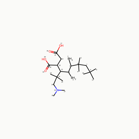 BC(C(B)C(C)(C)CC(C)(C)C)C(C(CC(=O)O)C(=O)O)C(C)(C)CN(C)C